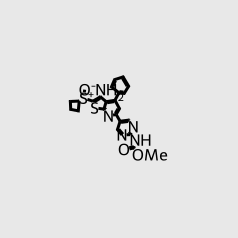 COC(=O)Nc1ncc(-c2cc(-c3ccccc3)c3c(N)c([S+]([O-])C4CCC4)sc3n2)cn1